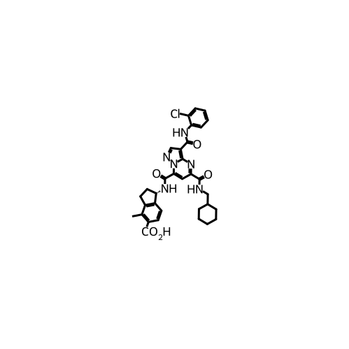 Cc1c(C(=O)O)ccc2c1CC[C@@H]2NC(=O)c1cc(C(=O)NCC2CCCCC2)nc2c(C(=O)Nc3ccccc3Cl)cnn12